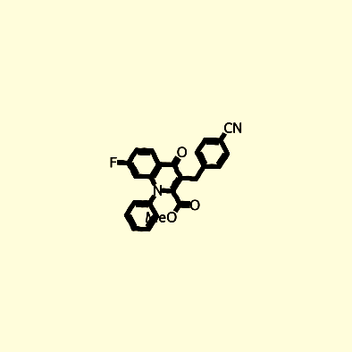 COC(=O)c1c(Cc2ccc(C#N)cc2)c(=O)c2ccc(F)cc2n1-c1ccccc1